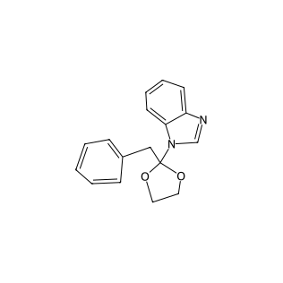 c1ccc(CC2(n3cnc4ccccc43)OCCO2)cc1